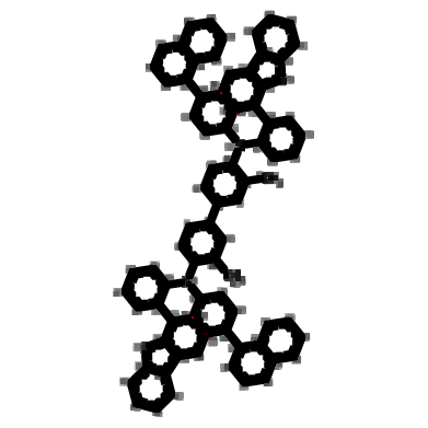 Cc1cc(-c2ccc(N(c3ccc(-c4cccc5ccccc45)cc3)c3ccccc3-c3cccc4c3sc3ccccc34)c(C)c2)ccc1N(c1ccc(-c2cccc3ccccc23)cc1)c1ccccc1-c1cccc2c1sc1ccccc12